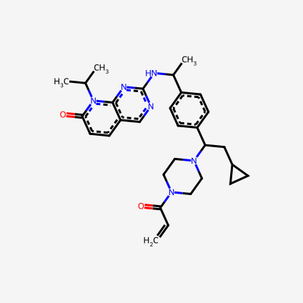 C=CC(=O)N1CCN(C(CC2CC2)c2ccc(C(C)Nc3ncc4ccc(=O)n(C(C)C)c4n3)cc2)CC1